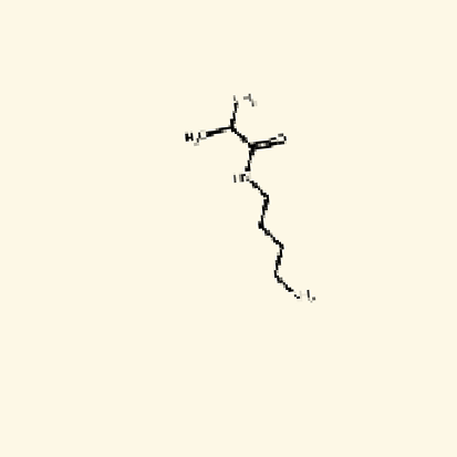 CC(C)C(=O)NCCCCN